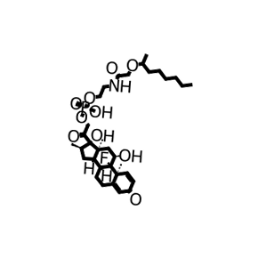 CCCCCCC(C)OCC(=O)NCCOP(=O)(O)OCC(=O)[C@@]1(O)[C@H](C)C[C@H]2[C@@H]3CCC4=CC(=O)C=C[C@]4(C)[C@@]3(F)[C@@H](O)C[C@@]21C